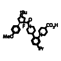 COc1ccc([C@@H]2CN(C(C)(C)C)C[C@@]2(F)C(=O)N2CCC(c3ccc(C(C)C)cc3N3CCC(C(=O)O)CC3)CC2)cc1